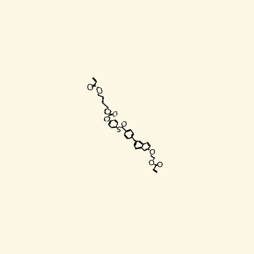 C=CC(=O)OCCCCOC(=O)Oc1ccc(SC(=O)c2ccc(-c3ccc4cc(OCCOC(=O)C=C)ccc4c3)cc2)cc1